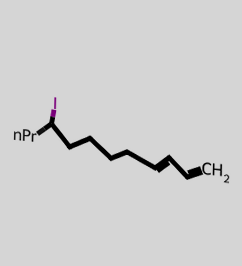 C=CC=CCCCCC(I)CCC